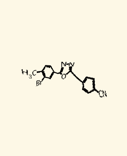 Cc1ccc(-c2nnc(-c3ccc(C#N)cc3)o2)cc1Br